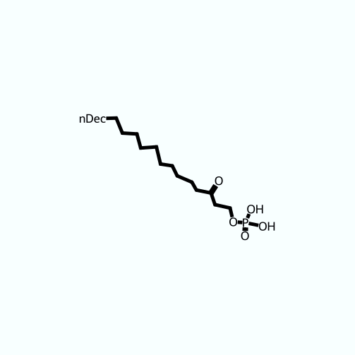 CCCCCCCCCCCCCCCCCCCCC(=O)CCOP(=O)(O)O